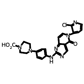 O=C(O)N1CCN(c2ccc(Nc3ncc4c(=O)n(-c5cccnc5Cl)ccc4n3)cc2)CC1